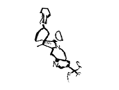 CC1C2Cc3ncc(C(F)(F)F)cc3CN2C(=O)[C@]12CCC(N1CCCC1)C2